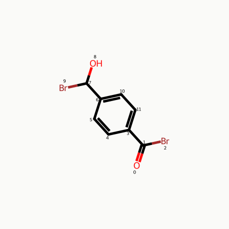 O=C(Br)c1ccc(C(O)Br)cc1